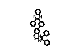 c1ccc(-c2nc3ccccc3nc2-c2cccc(-c3ccc4c(c3)-n3c(nc(-c5ccccc5)c3-c3ccccc3)SC4)c2)cc1